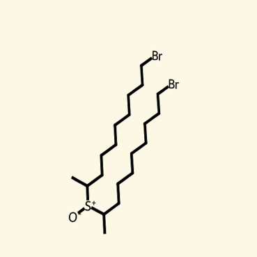 CC(CCCCCCCCBr)[S+]([O-])C(C)CCCCCCCCBr